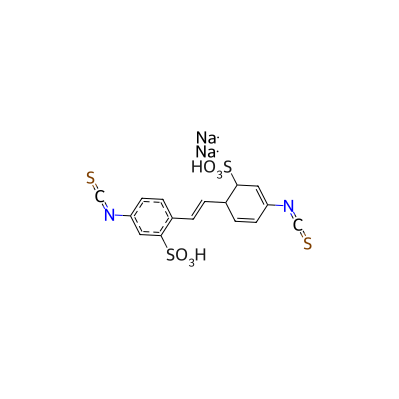 O=S(=O)(O)c1cc(N=C=S)ccc1C=CC1C=CC(N=C=S)=CC1S(=O)(=O)O.[Na].[Na]